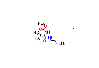 CCCCNC(=O)[C@@H](NC(=O)OC)C(C)C